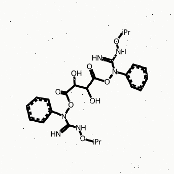 CC(C)ONC(=N)N(OC(=O)C(O)C(O)C(=O)ON(C(=N)NOC(C)C)c1ccccc1)c1ccccc1